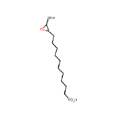 CCCCCCCCC1OC1CCCCCCCCCCC(=O)O